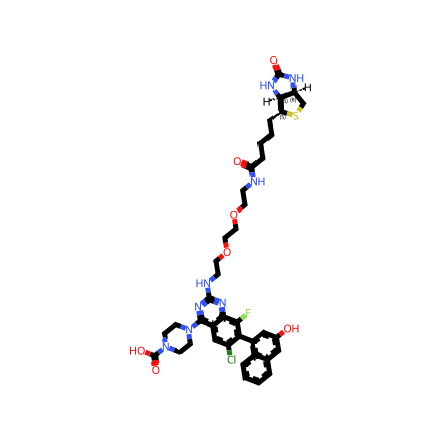 O=C(CCCC[C@@H]1SC[C@@H]2NC(=O)N[C@@H]21)NCCOCCOCCNc1nc(N2CCN(C(=O)O)CC2)c2cc(Cl)c(-c3cc(O)cc4ccccc34)c(F)c2n1